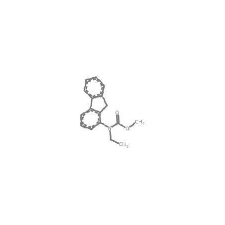 [CH2]CN(C(=O)OC)c1cccc2c1Cc1ccccc1-2